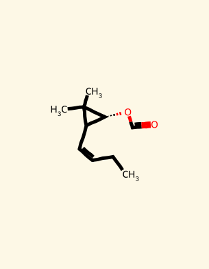 CC/C=C\C1[C@@H](OC=O)C1(C)C